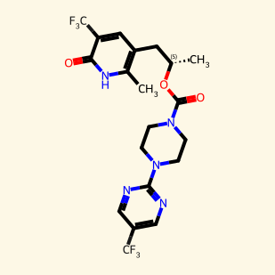 Cc1[nH]c(=O)c(C(F)(F)F)cc1C[C@H](C)OC(=O)N1CCN(c2ncc(C(F)(F)F)cn2)CC1